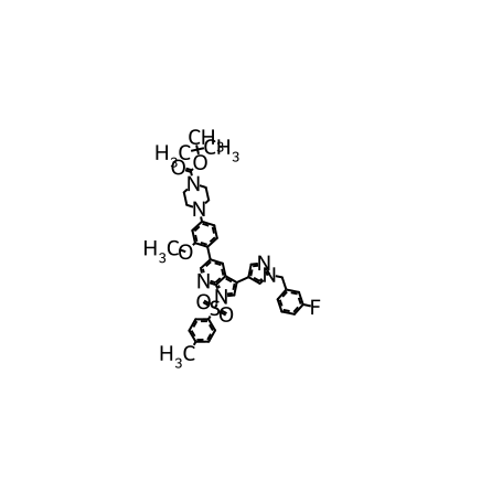 COc1cc(N2CCN(C(=O)OC(C)(C)C)CC2)ccc1-c1cnc2c(c1)c(-c1cnn(Cc3cccc(F)c3)c1)cn2S(=O)(=O)c1ccc(C)cc1